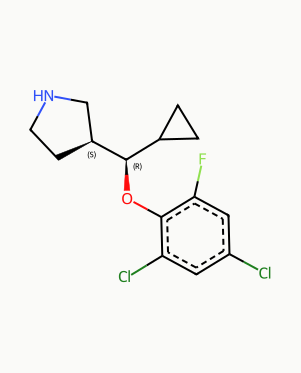 Fc1cc(Cl)cc(Cl)c1O[C@H](C1CC1)[C@H]1CCNC1